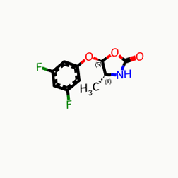 C[C@H]1NC(=O)O[C@@H]1Oc1cc(F)cc(F)c1